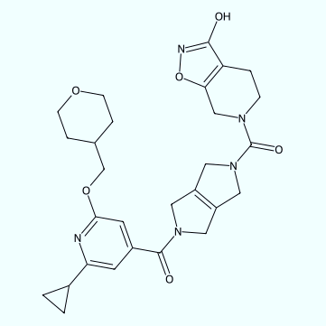 O=C(c1cc(OCC2CCOCC2)nc(C2CC2)c1)N1CC2=C(C1)CN(C(=O)N1CCc3c(O)noc3C1)C2